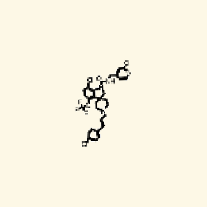 O=C(NCc1ccnc(Cl)c1)N1CC2(CCN(CC=Cc3ccc(Cl)cc3)CC2)c2c(OC(F)(F)F)ccc(Cl)c21